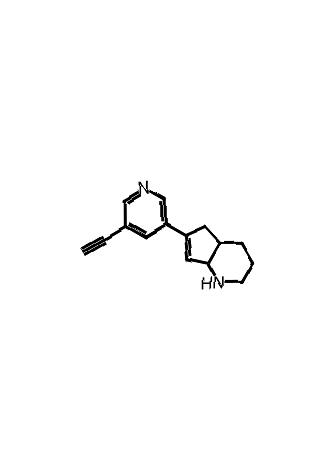 C#Cc1cncc(C2=CC3NCCCC3C2)c1